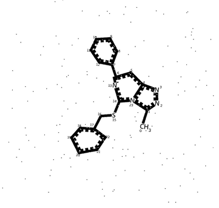 Cc1nnc2cc(-c3ccccc3)nc(SCc3ccccc3)n12